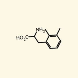 Cc1cccc(CC(N)C(=O)O)c1C